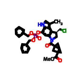 COC(=O)C12CC3(C(=O)N4C[C@@H](CCl)c5c4cc(OP(=O)(OCc4ccccc4)OCc4ccccc4)c4[nH]cc(C)c54)CC13C2